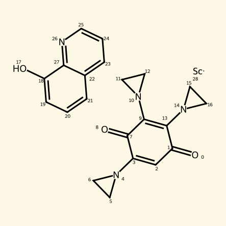 O=C1C=C(N2CC2)C(=O)C(N2CC2)=C1N1CC1.Oc1cccc2cccnc12.[Sc]